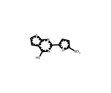 O=[N+]([O-])c1ccc(-c2nc(S)c3ccsc3n2)o1